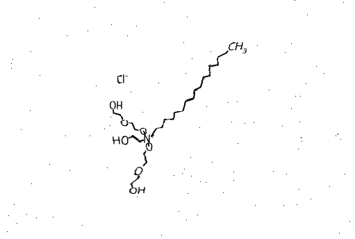 CCCCCCCCCCCCCCCCCC[N+](CCO)(OCCOCCO)OCCOCCO.[Cl-]